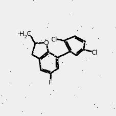 [CH2]C1Cc2cc(F)cc(-c3cc(Cl)ccc3Cl)c2O1